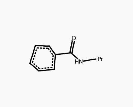 [13CH3][13CH]([13CH3])NC(=O)c1ccccc1